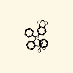 O=S(=O)([O-])c1ccccc1[P+](c1ccccc1)(c1ccccc1)c1ccc2c(c1)OCO2